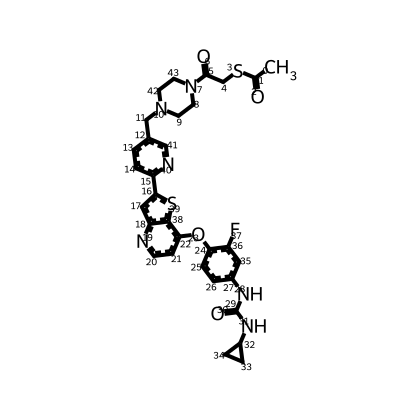 CC(=O)SCC(=O)N1CCN(Cc2ccc(-c3cc4nccc(Oc5ccc(NC(=O)NC6CC6)cc5F)c4s3)nc2)CC1